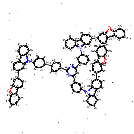 c1cc(-c2cc(-c3cccc(-n4c5ccccc5c5ccc(-c6ccc7c(c6)oc6ccccc67)cc54)c3)nc(-c3ccc(-c4ccc(-n5c6ccccc6c6ccc(-c7ccc8c(c7)oc7ccccc78)cc65)cc4)cc3)n2)cc(-n2c3ccccc3c3ccc(-c4ccc5c(c4)oc4ccccc45)cc32)c1